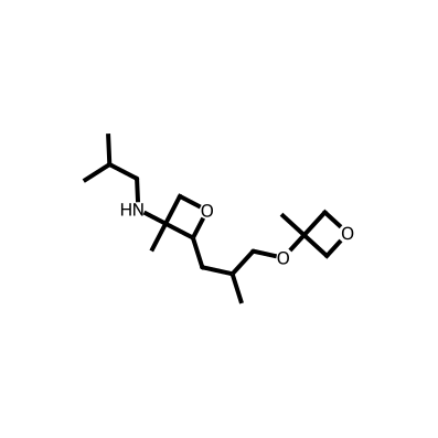 CC(C)CNC1(C)COC1CC(C)COC1(C)COC1